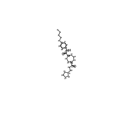 CCCCCc1ccc(NC(=O)N2CCCN(C(=O)CCC3CCCC3)CC2)cc1